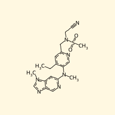 CCc1cc(CN(CC#N)S(C)(=O)=O)ncc1N(C)c1cc2c(cn1)ncn2C